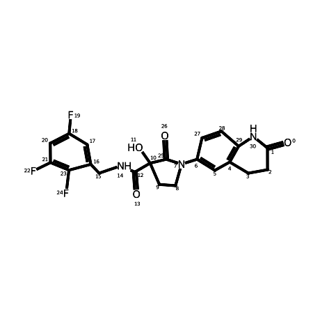 O=C1CCc2cc(N3CCC(O)(C(=O)NCc4cc(F)cc(F)c4F)C3=O)ccc2N1